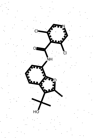 Cc1oc2c(NC(=O)c3c(Cl)cncc3Cl)cccc2c1C(C)(C)O